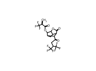 C=C(C(=O)OC1C2CC3C1OC(=O)C3C2C(=O)CC(C(F)(F)F)C(F)(F)F)C(F)(F)F